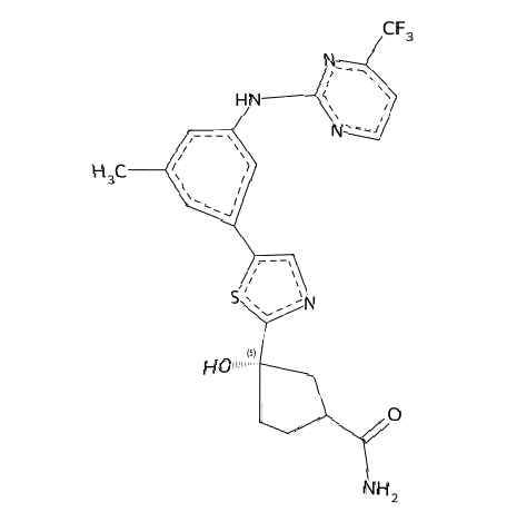 Cc1cc(Nc2nccc(C(F)(F)F)n2)cc(-c2cnc([C@]3(O)CCC(C(N)=O)C3)s2)c1